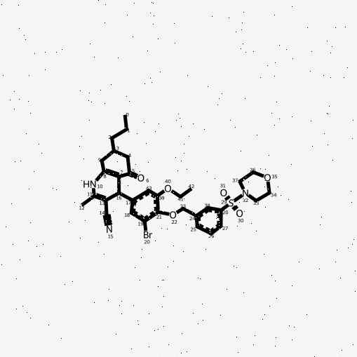 CCCC1CC(=O)C2=C(C1)NC(C)=C(C#N)C2c1cc(Br)c(OCc2cccc(S(=O)(=O)N3CCOCC3)c2)c(OCC)c1